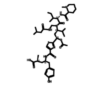 CCC(C)[C@H](NC(=O)C1CCCCN1C)C(=O)N(CNC(=O)CC(C)C)[C@H](C[C@@H](OC(C)=O)c1nc(C(=O)N[C@@H](Cc2ccc(O)cc2)C[C@H](C)C(=O)O)cs1)C(C)C